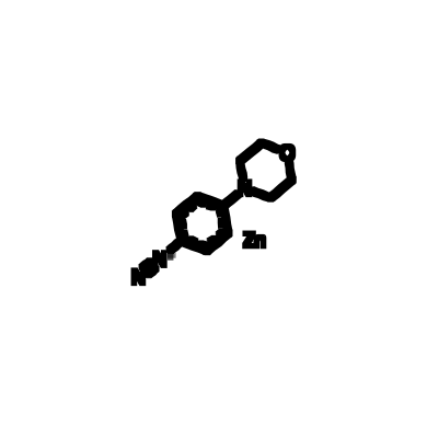 N#[N+]c1ccc(N2CCOCC2)cc1.[Zn]